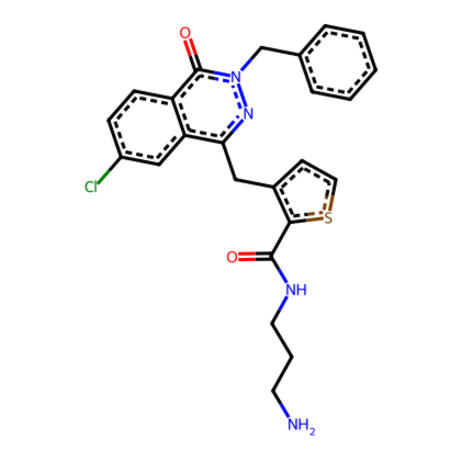 NCCCNC(=O)c1sccc1Cc1nn(Cc2ccccc2)c(=O)c2ccc(Cl)cc12